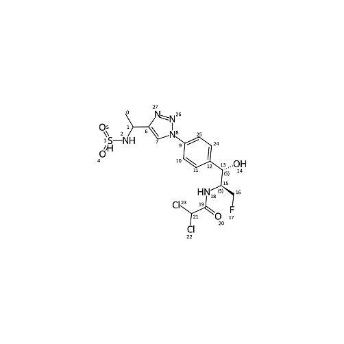 CC(N[SH](=O)=O)c1cn(-c2ccc([C@H](O)[C@@H](CF)NC(=O)C(Cl)Cl)cc2)nn1